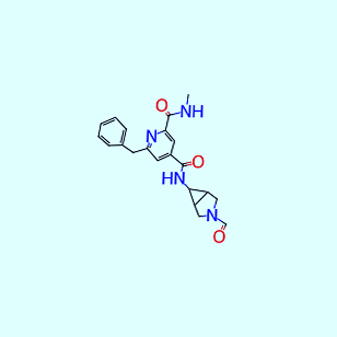 CNC(=O)c1cc(C(=O)NC2C3CN(C=O)CC32)cc(Cc2ccccc2)n1